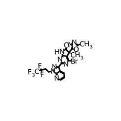 Cc1nnc(C2(C)C(=O)Nc3nc(-c4nn(CCC(F)(F)C(F)(F)F)c5ncccc45)nc(Br)c32)o1